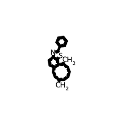 C=c1ccccc(=C)c2c(cc1)ccc1nc(-c3ccccc3)sc12